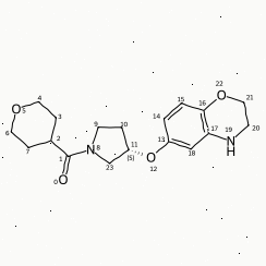 O=C(C1CCOCC1)N1CC[C@H](Oc2ccc3c(c2)NCCO3)C1